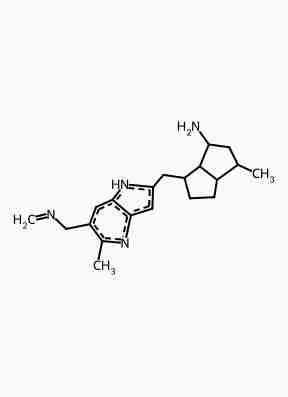 C=NCc1cc2[nH]c(CC3CCC4C(C)CC(N)C34)cc2nc1C